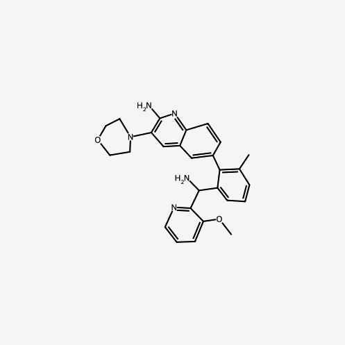 COc1cccnc1C(N)c1cccc(C)c1-c1ccc2nc(N)c(N3CCOCC3)cc2c1